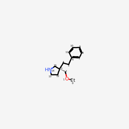 CCOC[C@]1(CCc2ccccc2)CCNC1